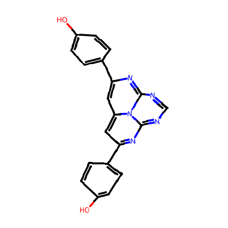 Oc1ccc(C2=CC3=CC(c4ccc(O)cc4)=NC4=NC=NC(=N2)N34)cc1